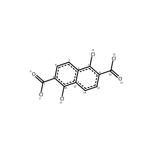 O=C(Cl)c1ccc2c(Cl)c(C(=O)Cl)ccc2c1Cl